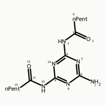 CCCCCC(=O)Nc1nc(N)nc(NC(=O)CCCCC)n1